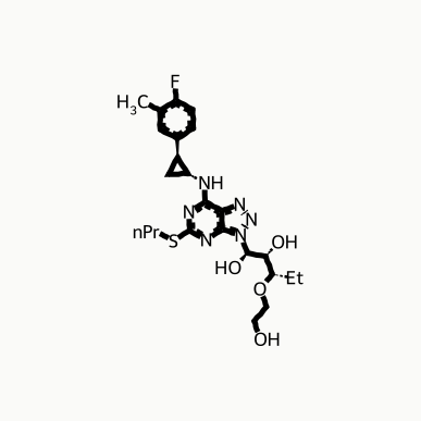 CCCSc1nc(N[C@@H]2C[C@H]2c2ccc(F)c(C)c2)c2nnn([C@H](O)[C@H](O)[C@H](CC)OCCO)c2n1